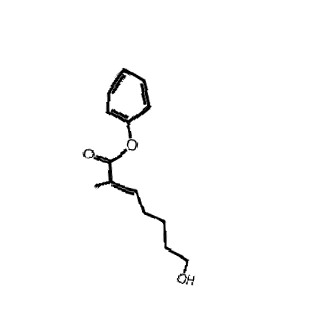 CC(=CCCCCO)C(=O)Oc1ccccc1